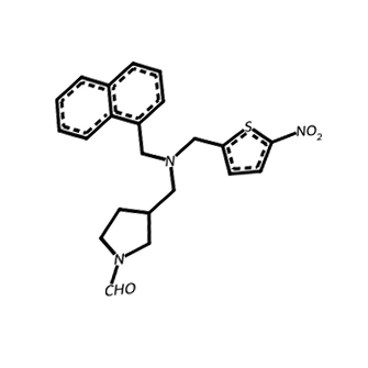 O=CN1CCC(CN(Cc2ccc([N+](=O)[O-])s2)Cc2cccc3ccccc23)C1